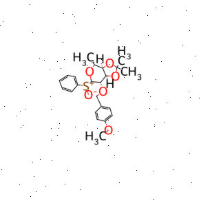 COc1ccc(CO[C@@H]2C([S+]([O-])c3ccccc3)O[C@@H](C)[C@H]3OC(C)(C)O[C@H]32)cc1